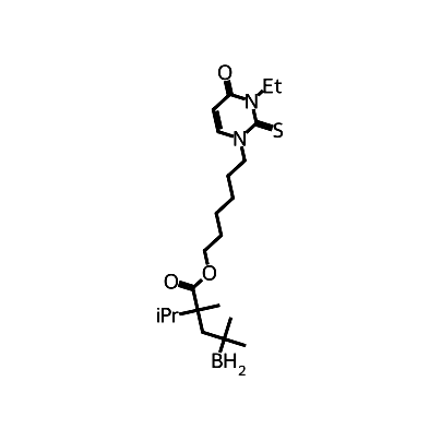 BC(C)(C)CC(C)(C(=O)OCCCCCCn1ccc(=O)n(CC)c1=S)C(C)C